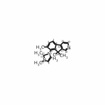 Cc1ccc2c(c1N1C=CN(C)[C@@H]1C)C(C)(C)c1cnccc1-2